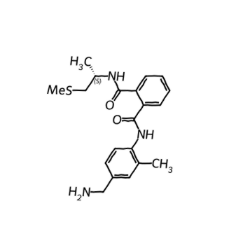 CSC[C@H](C)NC(=O)c1ccccc1C(=O)Nc1ccc(CN)cc1C